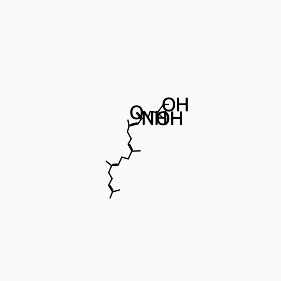 CC(C)=CCCC(C)=CCCC(C)=CCCC(C)=CC(=O)NCC(O)CO